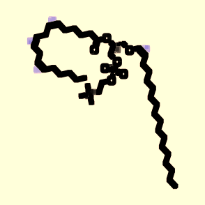 CCCCC/C=C\C/C=C\C/C=C\CCCCC(=O)O[C@H](CO/C=C\CCCCCCCCCCCCCCCC)COP(=O)([O-])OCC[N+](C)(C)C